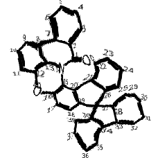 O=c1c2ccccc2c2cccc3c2n1-c1c(ccc2c1-c1ccccc1C21c2ccccc2-c2ccccc21)O3